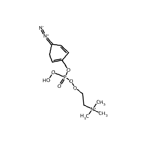 C[N+](C)(C)CCOOP(=O)(OO)OC1=CCC(=[N+]=[N-])C=C1